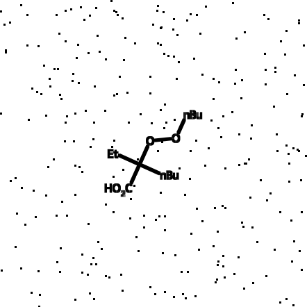 CCCCOOC(CC)(CCCC)C(=O)O